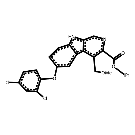 COCc1c(C(=O)OC(C)C)ncc2[nH]c3ccc(Oc4ccc(Cl)cc4Cl)cc3c12